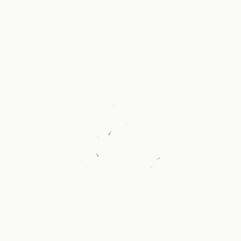 C[C@@](O)(c1ccc(N2CCN(S(=O)(=O)c3cccs3)C[C@@H]2CN2CCOC[C@@H]2CO)cc1)C(F)(F)F